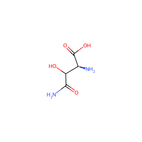 NC(=O)C(O)[C@H](N)C(=O)O